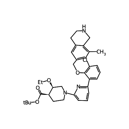 CCO[C@H]1CN(c2cccc(-c3cccc(Cl)c3OCc3cc(C)c4c(c3)CCNC4)n2)CC[C@H]1C(=O)OC(C)(C)C